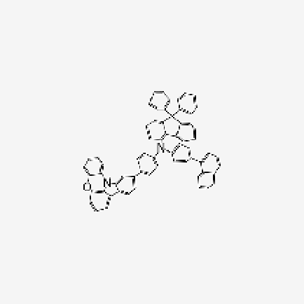 c1ccc(C2(c3ccccc3)c3ccccc3-c3c(N(c4ccc(-c5ccc6c7cccc8c7n(c6c5)-c5ccccc5O8)cc4)c4ccc(-c5cccc6ccccc56)cc4)cccc32)cc1